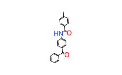 Cc1ccc(C(=O)Nc2ccc(C(=O)c3ccccc3)cc2)cc1